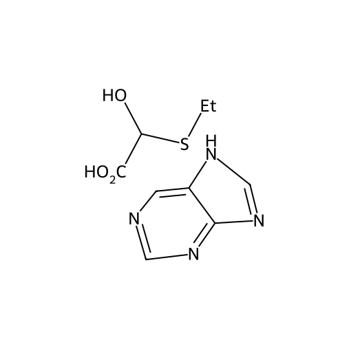 CCSC(O)C(=O)O.c1ncc2[nH]cnc2n1